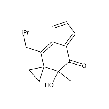 CC(C)CC1=C2C=CC=C2C(=O)C(C)(O)C12CC2